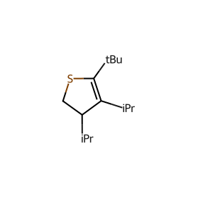 CC(C)C1=C(C(C)(C)C)SCC1C(C)C